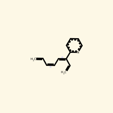 C=C/C=C\C=C(/C=C)c1ccccn1